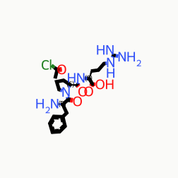 CC(=O)Cl.N=C(N)NCCC[C@H](NC(=O)[C@@H]1CCCN1C(=O)[C@H](N)Cc1ccccc1)C(=O)O